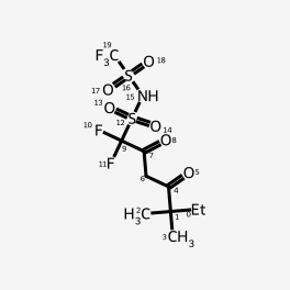 CCC(C)(C)C(=O)CC(=O)C(F)(F)S(=O)(=O)NS(=O)(=O)C(F)(F)F